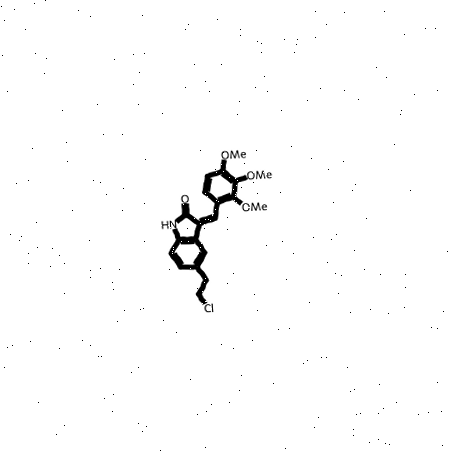 COc1ccc(C=C2C(=O)Nc3ccc(CCCl)cc32)c(OC)c1OC